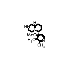 COC1([C@H]2CCC[C@H]3CNCCN32)C=CN=C(C)C1C